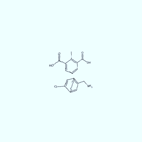 Cc1c(C(=O)O)cccc1C(=O)O.NCc1cc2c(Cl)cc1OC2